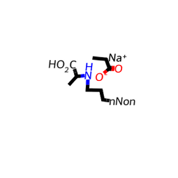 CCC(=O)[O-].CCCCCCCCCCCCNC(C)C(=O)O.[Na+]